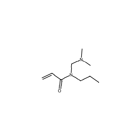 C=CC(=O)N(CCC)CN(C)C